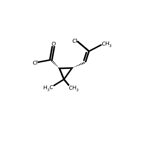 C/C(Cl)=C/[C@H]1[C@@H](C(=O)Cl)C1(C)C